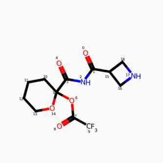 O=C(NC(=O)C1(OC(=O)C(F)(F)F)CCCCO1)C1CNC1